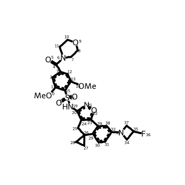 COc1cc(C(=O)N2CCOCC2)cc(OC)c1S(=O)(=O)Nc1noc2c1CC1(CC1)c1ccc(N3CC(F)C3)cc1-2